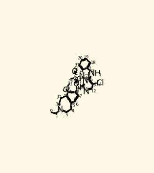 CCN1CCc2ccc(Nc3ncc(Cl)c(Nc4ccccc4NS(C)(=O)=O)n3)c(OC)c2CC1